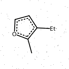 C[CH]c1ccoc1C